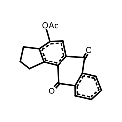 CC(=O)Oc1cc2c(c3c1CCC3)C(=O)c1ccccc1C2=O